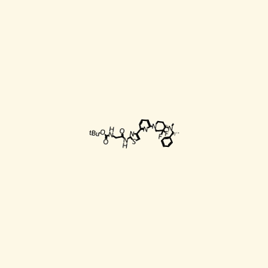 C[C@H](c1ccccc1)N(C)[C@@H]1CCN(c2cccc(-c3csc(NC(=O)CNC(=O)OC(C)(C)C)n3)n2)CC1(F)F